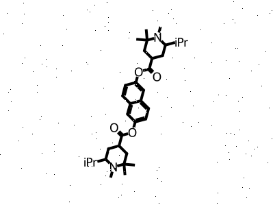 CC(C)C1CC(C(=O)Oc2ccc3cc(OC(=O)C4CC(C(C)C)N(C)C(C)(C)C4)ccc3c2)CC(C)(C)N1C